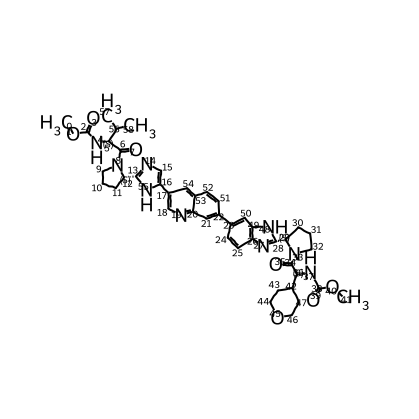 COC(=O)N[C@H](C(=O)N1CCC[C@H]1c1ncc(-c2cnc3cc(-c4ccc5nc([C@@H]6CCCN6C(=O)[C@@H](NC(=O)OC)C6CCOCC6)[nH]c5c4)ccc3c2)[nH]1)C(C)C